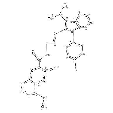 COc1cccc2cc(C(=O)C=CC=Cc3c(-c4ccc(F)cc4)c4ccccc4n3C(C)C)c(=O)oc12